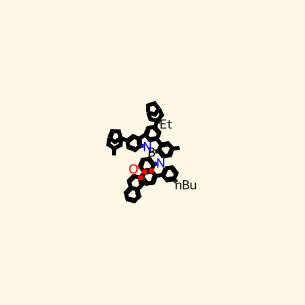 CCCCc1ccc(N2c3cc4c(cc3B3c5c(cc(C)cc52)-c2cc(C5(CC)CC6CCC(C6)C5)cc5c6cc(C78CC=C(CC(C)C7)C8)ccc6n3c25)oc2cc3ccccc3cc24)c(-c2ccccc2)c1